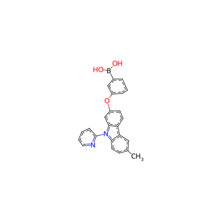 Cc1ccc2c(c1)c1ccc(Oc3cccc(B(O)O)c3)cc1n2-c1ccccn1